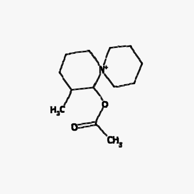 CC(=O)OC1C(C)CCC[N+]12CCCCC2